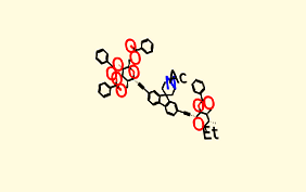 CC[C@H]1O[C@H](C#Cc2ccc3c(c2)C2(CCN(C(C)=O)CC2)c2cc(C#C[C@H]4O[C@H](COC(=O)c5ccccc5)[C@@H](OC(=O)c5ccccc5)C(OC(=O)c5ccccc5)[C@@H]4C)ccc2-3)C(OC(=O)c2ccccc2)[C@@H](C)[C@@H]1C